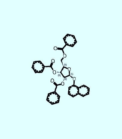 O=C(OC[C@H]1O[C@@H](Oc2cccc3ccccc23)[C@H](OC(=O)c2ccccc2)[C@@H]1OC(=O)c1ccccc1)c1ccccc1